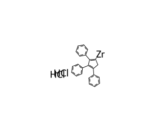 Cl.Cl.[Zr][C]1=C(c2ccccc2)C(c2ccccc2)=C(c2ccccc2)C1